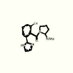 CNC1CCCN1C(=O)c1c(C#N)cccc1-c1ncc[nH]1